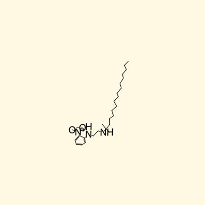 CCCCCCCCCCCCCCCC(C)(C)NCCNc1ccccc1[N+](=O)[O-]